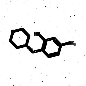 Nc1ccc(CN2CCOCC2)c(O)c1